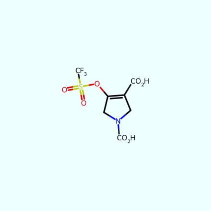 O=C(O)C1=C(OS(=O)(=O)C(F)(F)F)CN(C(=O)O)C1